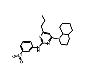 CCCc1cc(N2CCCC3CCCCC32)nc(Nc2cccc([N+](=O)[O-])c2)n1